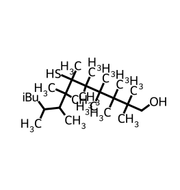 CCC(C)C(C)C(C)C(C)(C)C(C)(S)C(C)(C)C(C)(C)C(C)(C)C(C)(C)CO